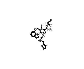 CC[C@H](C)[C@H](NC(=O)CF)C(=O)N[C@H]1COc2cccc3c2N(C1=O)[C@H](C(=O)NCC1=CCN=N1)C3